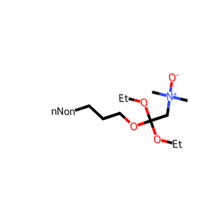 CCCCCCCCCCCCOC(C[N+](C)(C)[O-])(OCC)OCC